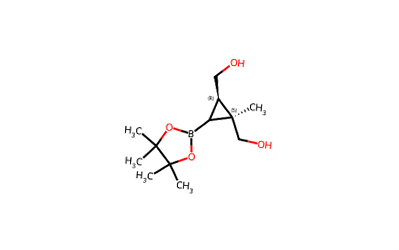 CC1(C)OB(C2[C@@H](CO)[C@@]2(C)CO)OC1(C)C